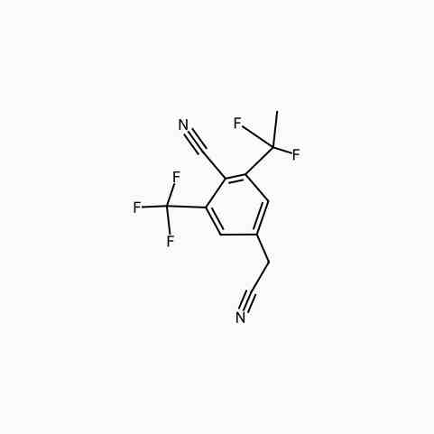 CC(F)(F)c1cc(CC#N)cc(C(F)(F)F)c1C#N